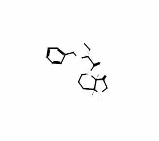 CC(C)C[C@H](OCc1ccccc1)C(=O)N1CCC[C@H]2NCC(=O)[C@H]21